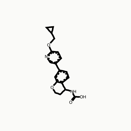 O=C(O)NC1CCOc2cc(-c3ccc(OCC4CC4)nc3)ccc21